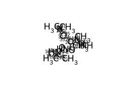 Cc1c(C(=O)NCC2C(=O)NC(C)(C3CCCCC3)CC2C)cc(-c2ccc(CN(C)C)cc2)cc1N(C)C1CCNCC1